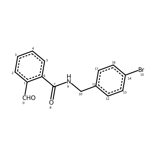 O=Cc1ccccc1C(=O)NCc1ccc(Br)cc1